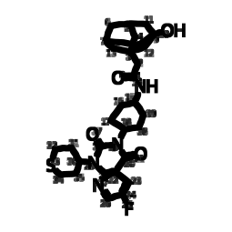 O=C(CC12CC3CC(CC(O)(C3)C1)C2)NC1CCC(n2c(=O)c3cc(F)cnc3n(C3CCSCC3)c2=O)CC1